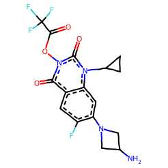 NC1CN(c2cc3c(cc2F)c(=O)n(OC(=O)C(F)(F)F)c(=O)n3C2CC2)C1